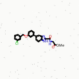 COC(=O)CNC(=O)c1nc2cc(-c3cccc(OCc4cccc(Cl)c4)c3)ccc2[nH]1